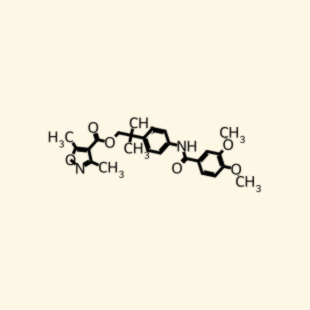 COc1ccc(C(=O)Nc2ccc(C(C)(C)COC(=O)c3c(C)noc3C)cc2)cc1OC